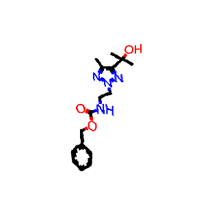 Cc1nn(CCNC(=O)OCc2ccccc2)nc1C(C)(C)O